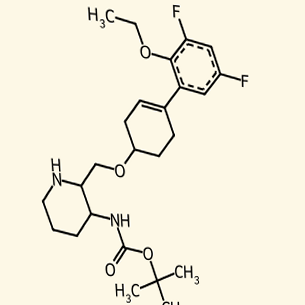 CCOc1c(F)cc(F)cc1C1=CCC(OCC2NCCCC2NC(=O)OC(C)(C)C)CC1